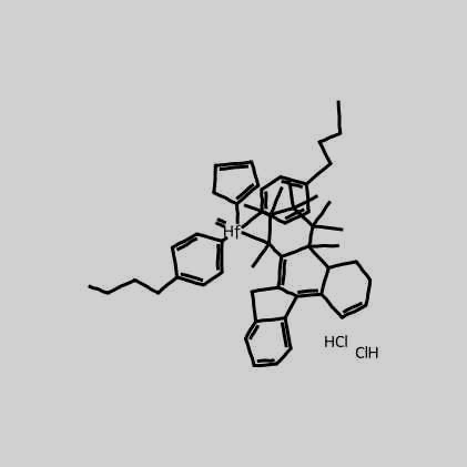 Cl.Cl.[CH2]=[Hf]([C]1=CC=CC1)([c]1ccc(CCCC)cc1)([c]1ccc(CCCC)cc1)[C]1(C)C2=C3Cc4ccccc4C3=C3C=CCCC3C2(C)C(C)(C)C(C)(C)C1(C)C